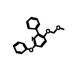 COCOc1ccc(Oc2ccccc2)nc1-c1ccccc1